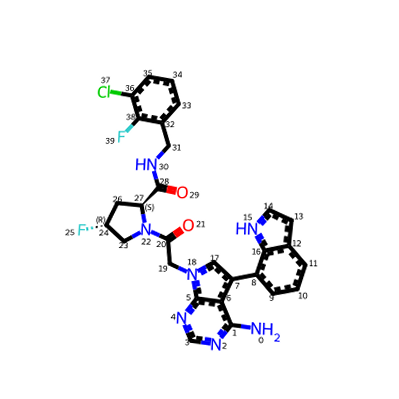 Nc1ncnc2c1c(-c1cccc3cc[nH]c13)cn2CC(=O)N1C[C@H](F)C[C@H]1C(=O)NCc1cccc(Cl)c1F